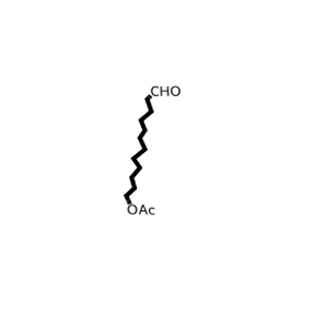 CC(=O)OCCCCCCCCCCCC=O